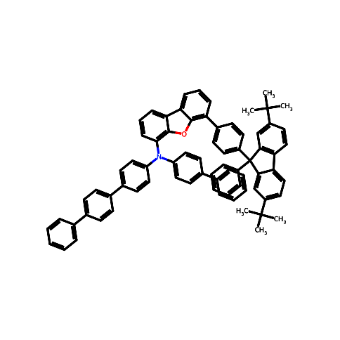 CC(C)(C)c1ccc2c(c1)C(c1ccccc1)(c1ccc(-c3cccc4c3oc3c(N(c5ccc(-c6ccccc6)cc5)c5ccc(-c6ccc(-c7ccccc7)cc6)cc5)cccc34)cc1)c1cc(C(C)(C)C)ccc1-2